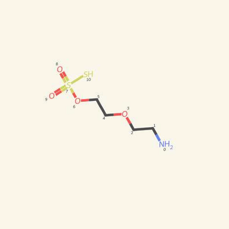 NCCOCCOS(=O)(=O)S